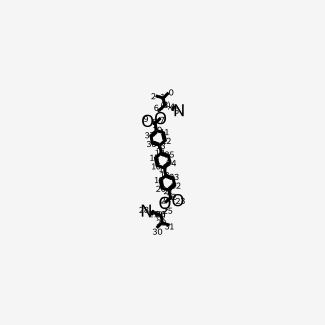 CC(C)[C@H](C#N)COC(=O)c1ccc(-c2ccc(-c3ccc(C(=O)OC[C@@H](C#N)C(C)C)cc3)cc2)cc1